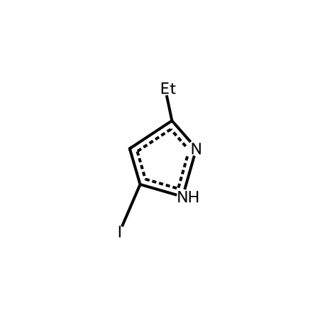 CCc1cc(I)[nH]n1